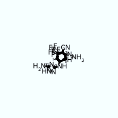 N#Cc1c(NN)cc(Nc2n[nH]c(N)n2)cc1S(F)(F)(F)(F)F